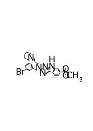 COC(=O)c1ccc2c(c1)[nH]c1nc(N(CCCN3CCCCC3)Cc3cccc(Br)c3)ncc12